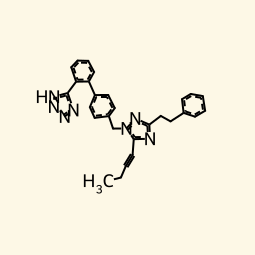 CCC#Cc1nc(CCc2ccccc2)nn1Cc1ccc(-c2ccccc2-c2nnn[nH]2)cc1